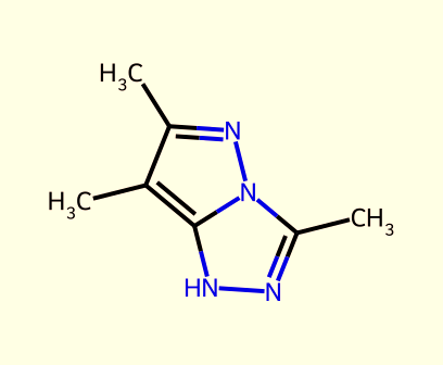 Cc1nn2c(C)n[nH]c2c1C